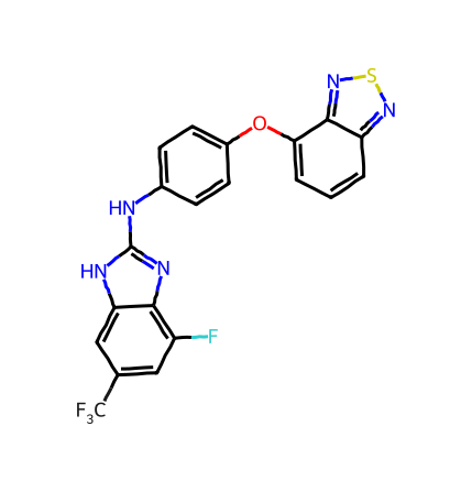 Fc1cc(C(F)(F)F)cc2[nH]c(Nc3ccc(Oc4cccc5nsnc45)cc3)nc12